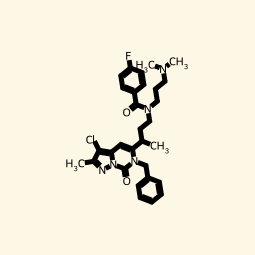 Cc1nn2c(=O)n(Cc3ccccc3)c(C(C)CCN(CCCN(C)C)C(=O)c3ccc(F)cc3)cc2c1Cl